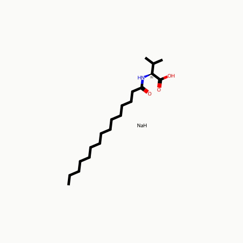 CCCCCCCCCCCCCCC(=O)N[C@H](C(=O)O)C(C)C.[NaH]